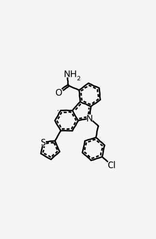 NC(=O)c1cccc2c1c1[c]cc(-c3cccs3)cc1n2Cc1cccc(Cl)c1